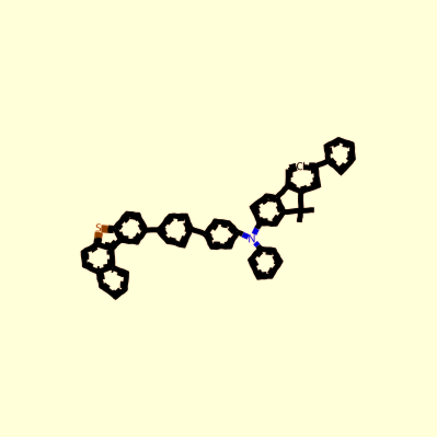 CC1(C)c2cc(-c3ccccc3)ccc2-c2ccc(N(c3ccccc3)c3ccc(-c4ccc(-c5ccc6sc7ccc8ccccc8c7c6c5)cc4)cc3)cc21